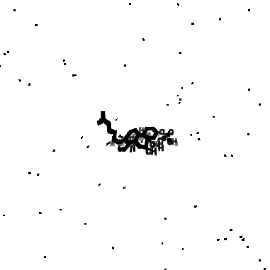 CC(C)CCC[C@@H](C)[C@H]1CC[C@H]2[C@@H]3CC(O)[C@@]4(O)C[C@@H](OP(=O)(O)O)CC[C@]4(C)[C@H]3CC[C@]12C